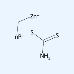 CCC[CH2][Zn+].NC(=S)[S-]